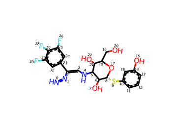 N=N/C(=C\NC1C(O)[C@@H](Sc2cccc(O)c2)OC(CO)[C@@H]1O)c1cc(F)c(F)c(F)c1